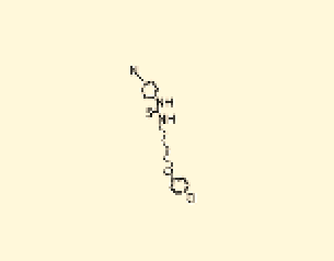 N#Cc1ccc(NC(=S)NCCCCCCOc2ccc(Cl)cc2)cc1